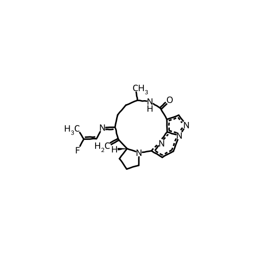 C=C1/C(=N\C=C(/C)F)CCC(C)NC(=O)c2cnn3ccc(nc23)N2CCC[C@H]12